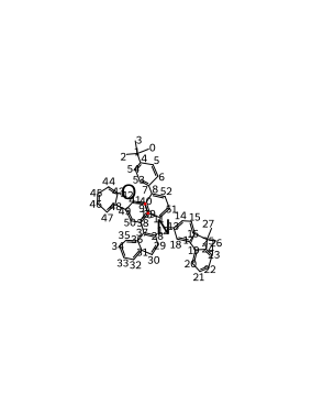 CC(C)(C)c1ccc(-c2ccc(N(c3ccc4c(c3)-c3ccccc3C4(C)C)c3ccc4ccccc4c3-c3ccc4oc5ccccc5c4c3)cc2)cc1